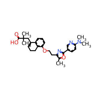 Cc1oc(-c2ccc(N(C)C)nc2)nc1CCOc1cccc2c1CCC=C2CC(C)(C)C(=O)O